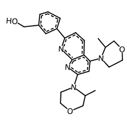 CC1COCCN1c1cc(N2CCOCC2C)c2ccc(-c3cccc(CO)c3)nc2n1